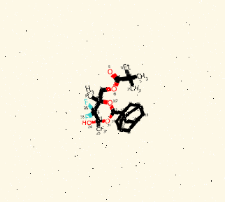 CCC(C)(C)C(=O)OCC1(C)OC(C23CC4CC(CC(C4)C2)C3)OC(O)(C(F)(F)F)C1(F)F